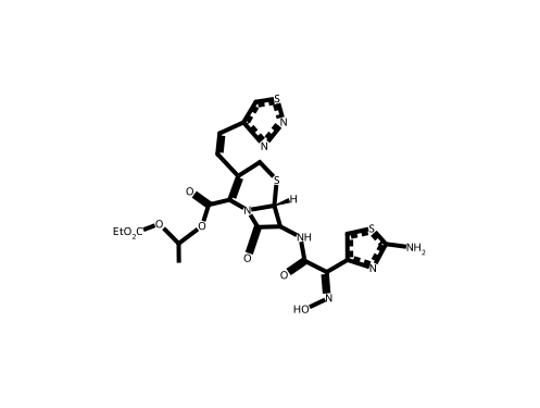 CCOC(=O)OC(C)OC(=O)C1=C(/C=C\c2csnn2)CS[C@@H]2C(NC(=O)/C(=N\O)c3csc(N)n3)C(=O)N12